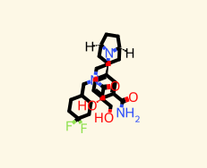 NC(=O)c1cccc([C@H]2C[C@H]3CC[C@@H](C2)N3CCN(CC2CCC(F)(F)CC2)C(=O)[C@@H](O)CO)c1